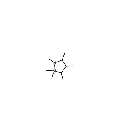 CC1C(C)N(C)[Si](C)(C)C1C